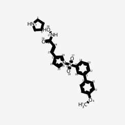 C1CCNC1.COc1ccc(-c2cccc(S(=O)(=O)n3ccc(C=CC(=O)NO)c3)c2)cc1